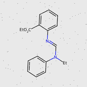 CCOC(=O)c1ccccc1N=CN(CC)c1ccccc1